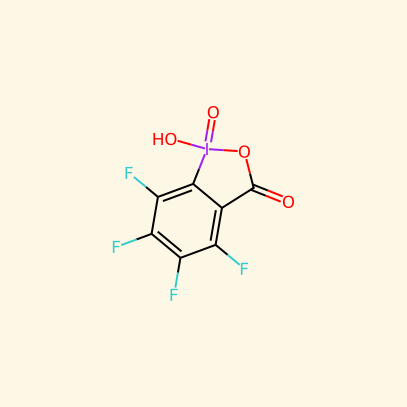 O=C1OI(=O)(O)c2c(F)c(F)c(F)c(F)c21